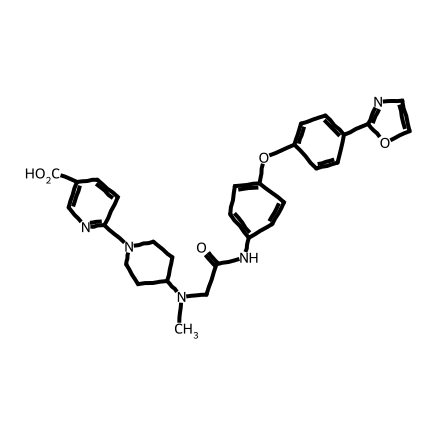 CN(CC(=O)Nc1ccc(Oc2ccc(-c3ncco3)cc2)cc1)C1CCN(c2ccc(C(=O)O)cn2)CC1